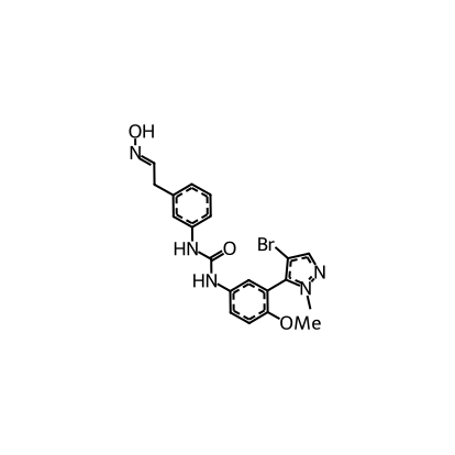 COc1ccc(NC(=O)Nc2cccc(CC=NO)c2)cc1-c1c(Br)cnn1C